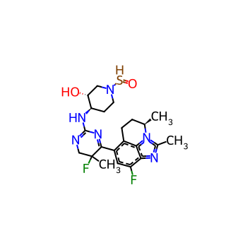 Cc1nc2c(F)cc(C3=NC(N[C@@H]4CCN([SH]=O)C[C@H]4O)=NCC3(C)F)c3c2n1[C@H](C)CC3